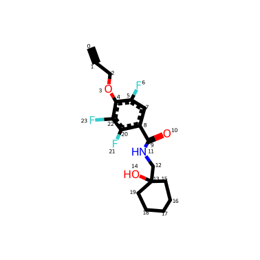 C#CCOc1c(F)cc(C(=O)NCC2(O)CCCCC2)c(F)c1F